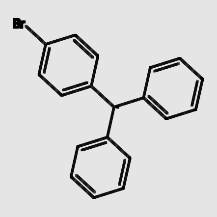 Brc1ccc([C](c2ccccc2)c2ccccc2)cc1